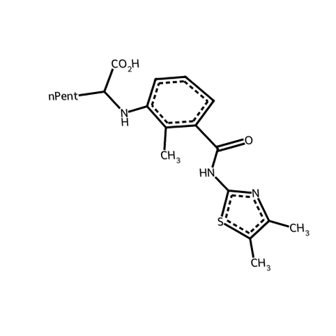 CCCCCC(Nc1cccc(C(=O)Nc2nc(C)c(C)s2)c1C)C(=O)O